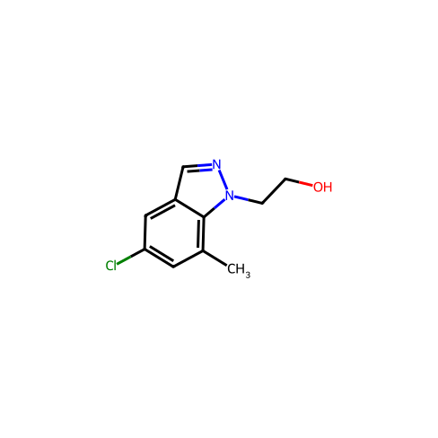 Cc1cc(Cl)cc2cnn(CCO)c12